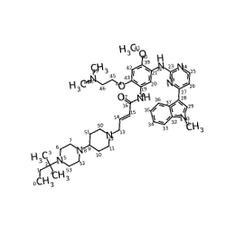 CCC(C)(C)N1CCN(C2CCN(C/C=C/C(=O)Nc3cc(Nc4nccc(-c5cn(C)c6ccccc56)n4)c(OC)cc3OCCN(C)C)CC2)CC1